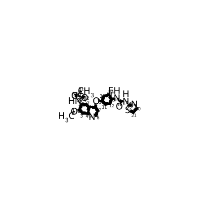 COc1cc2nccc(Oc3ccc(NC(=O)Nc4nccs4)c(F)c3)c2cc1NS(C)(=O)=O